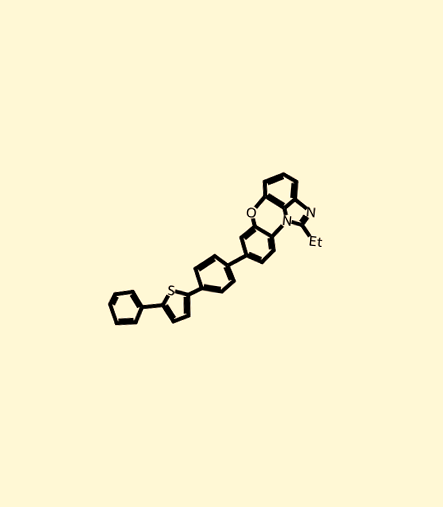 CCc1nc2cccc3c2n1-c1ccc(-c2ccc(-c4ccc(-c5ccccc5)s4)cc2)cc1O3